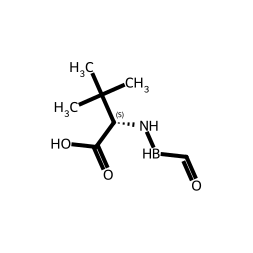 CC(C)(C)[C@H](NBC=O)C(=O)O